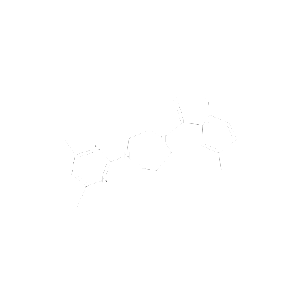 Cc1cc(C)nc(N2CCN(C(=O)c3cc(Cl)ccc3Cl)CCO2)n1